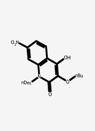 CCCCCCCCCCn1c(=O)c(OCCCC)c(O)c2ccc([N+](=O)[O-])cc21